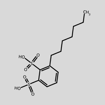 CCCCCCCc1cccc(S(=O)(=O)O)c1S(=O)(=O)O